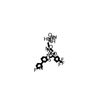 O=[SH](=O)NNCc1nnc(CS(=O)(=O)C(c2ccc(C(F)(F)F)cc2)c2nc3ccc(-c4ccc(F)nc4)cc3s2)o1